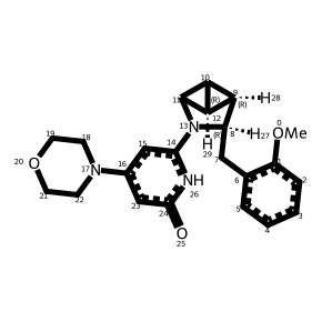 COc1ccccc1C[C@@H]1[C@@H]2C3C([C@@H]32)N1c1cc(N2CCOCC2)cc(=O)[nH]1